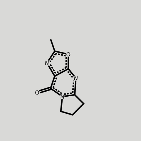 Cc1nc2c(=O)n3c(nc2o1)CCC3